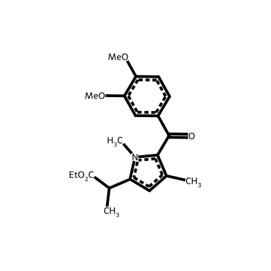 CCOC(=O)C(C)c1cc(C)c(C(=O)c2ccc(OC)c(OC)c2)n1C